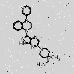 CC1(CN)CCN(c2cnc3c(N4CCN(c5cccnc5)c5ccccc54)n[nH]c3n2)CC1